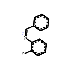 Fc1ccccc1/N=C\c1ccccc1